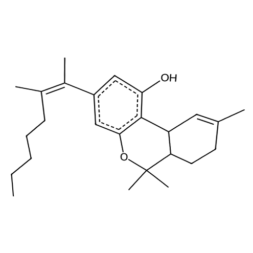 CCCCCC(C)=C(C)c1cc(O)c2c(c1)OC(C)(C)C1CCC(C)=CC21